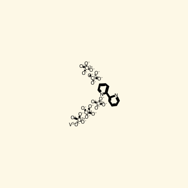 [O-][Cl+3]([O-])([O-])[O-].[O-][Cl+3]([O-])([O-])[O-].[O-][Cl+3]([O-])([O-])[O-].[O-][Cl+3]([O-])([O-])[O-].[O-][Cl+3]([O-])([O-])[O-].[V+5].c1ccc(-c2ccccn2)nc1